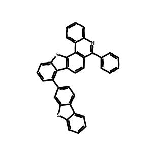 c1ccc(-c2nc3ccccc3c3c2ccc2c3sc3cccc(-c4ccc5c(c4)sc4ccccc45)c32)cc1